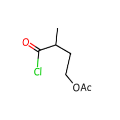 CC(=O)OCCC(C)C(=O)Cl